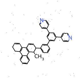 CC1c2c(c3c(c4ccccc24)CCC=C3)C=CC1c1cccc(-c2cc(-c3ccncc3)cc(-c3ccncc3)c2)c1